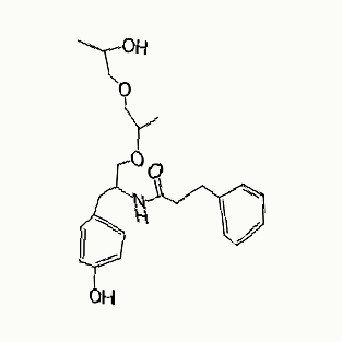 CC(O)COCC(C)OCC(Cc1ccc(O)cc1)NC(=O)CCc1ccccc1